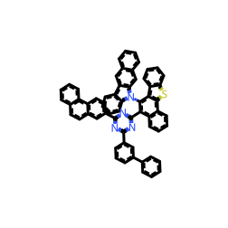 c1ccc(-c2cccc(-c3nc(-c4ccc5c(ccc6ccccc65)c4)nc(-c4c(-n5c6ccccc6c6cc7ccccc7cc65)c5c6ccccc6sc5c5ccccc45)n3)c2)cc1